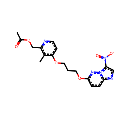 CC(=O)OCc1nccc(OCCCOc2ccc3ncc([N+](=O)[O-])n3n2)c1C